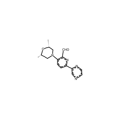 C[C@@H]1CN(c2ccc(-c3cnccn3)nc2C=O)C[C@H](C)O1